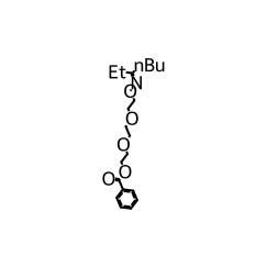 CCCC/C(CC)=N/OCCOCCOCCOC(=O)c1ccccc1